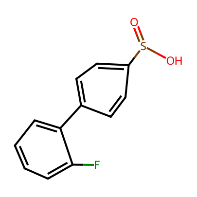 O=S(O)c1ccc(-c2ccccc2F)cc1